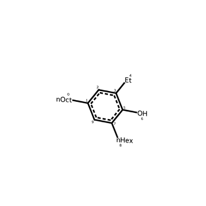 CCCCCCCCc1cc(CC)c(O)c(CCCCCC)c1